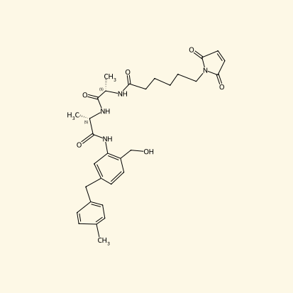 Cc1ccc(Cc2ccc(CO)c(NC(=O)[C@H](C)NC(=O)[C@H](C)NC(=O)CCCCCN3C(=O)C=CC3=O)c2)cc1